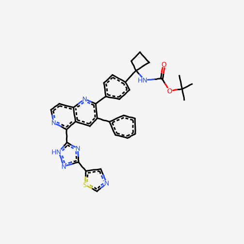 CC(C)(C)OC(=O)NC1(c2ccc(-c3nc4ccnc(-c5nc(-c6cncs6)n[nH]5)c4cc3-c3ccccc3)cc2)CCC1